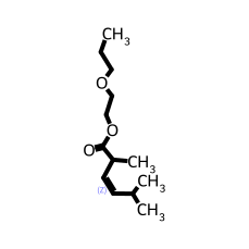 CCCOCCOC(=O)C(C)/C=C\C(C)C